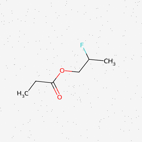 CCC(=O)OCC(C)F